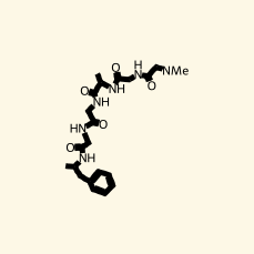 CNCC(=O)NCC(=O)NC(C)C(=O)NCC(=O)NCC(=O)NC(C)Cc1ccccc1